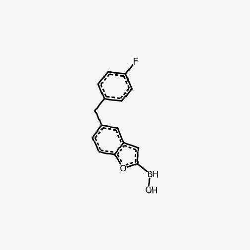 OBc1cc2cc(Cc3ccc(F)cc3)ccc2o1